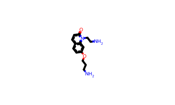 NCCCOc1ccc2ccc(=O)n(CCN)c2c1